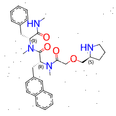 CNC(=O)[C@@H](Cc1ccccc1)N(C)C(=O)[C@@H](Cc1ccc2ccccc2c1)N(C)C(=O)COC[C@@H]1CCCN1